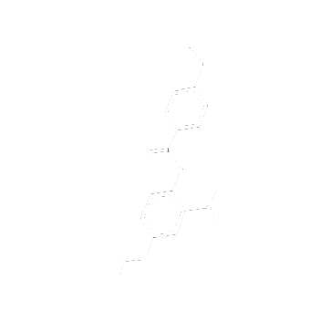 CCOc1ccc(NC(=O)c2ccc(CCl)cc2)c([N+](=O)[O-])c1